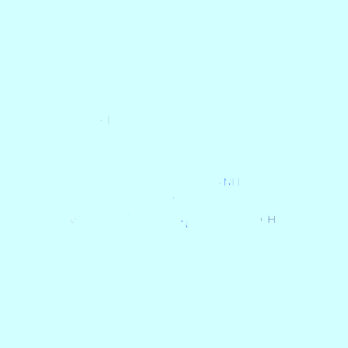 CC1CN=C(c2cc(Cl)cc(Br)c2)CN1